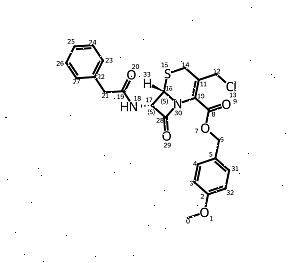 COc1ccc(COC(=O)C2=C(CCl)CS[C@H]3[C@@H](NC(=O)Cc4ccccc4)C(=O)N23)cc1